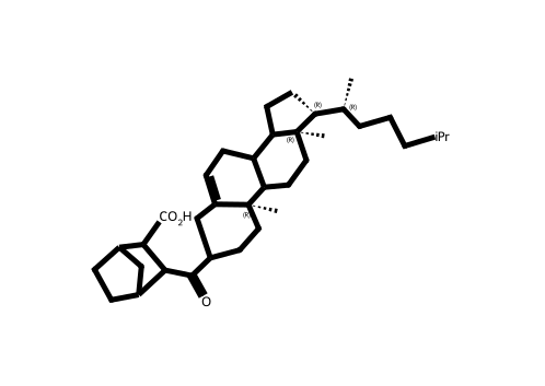 CC(C)CCC[C@@H](C)[C@H]1CCC2C3CC=C4CC(C(=O)C5C6CCC(C6)C5C(=O)O)CC[C@]4(C)C3CC[C@@]21C